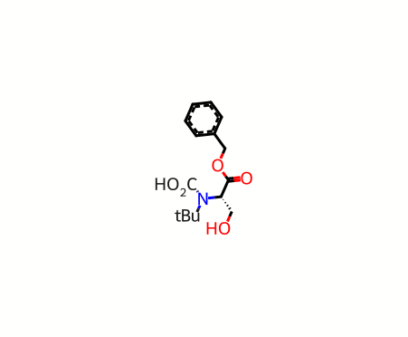 CC(C)(C)N(C(=O)O)[C@@H](CO)C(=O)OCc1ccccc1